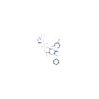 Cn1ncc(S(=O)(=O)N2CC[C@H]3Cc4c(cnn4-c4ccc(F)cc4)C[C@]3(C(=O)c3cc(C(F)(F)F)ccn3)C2)n1